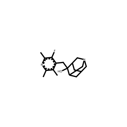 Cc1nc(C)c(F)c(CC2(O)C3CC4CC2CN(C4)C3)c1C